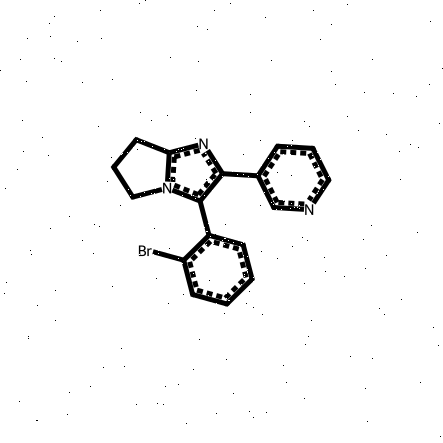 Brc1ccccc1-c1c(-c2cccnc2)nc2n1CCC2